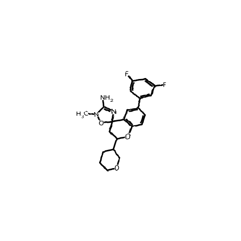 CN1OC2(CC(C3CCCOC3)Oc3ccc(-c4cc(F)cc(F)c4)cc32)N=C1N